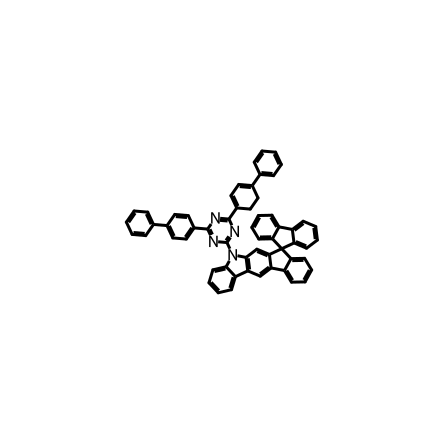 C1=C(c2ccccc2)CCC(c2nc(-c3ccc(-c4ccccc4)cc3)nc(-n3c4ccccc4c4cc5c(cc43)C3(c4ccccc4-c4ccccc43)c3ccccc3-5)n2)=C1